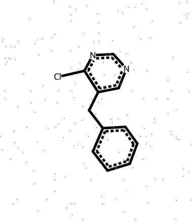 Clc1ncncc1Cc1ccccc1